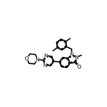 Cc1ccc(C)c(Cn2c3cc(-c4cnc(N5CCOCC5)nc4)ccc3c(=O)n2C)c1